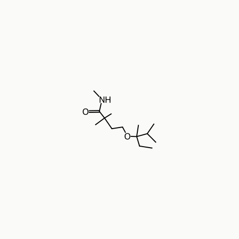 CCC(C)(OCCC(C)(C)C(=O)NC)C(C)C